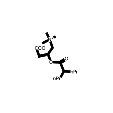 CCCC(CCC)C(=O)OC(CC(=O)[O-])C[N+](C)(C)C